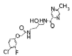 Cc1cnc(C(=O)NCC(O)CCNC(=O)COc2ccc(Cl)c(F)c2)cn1